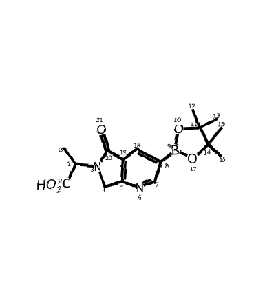 CC(C(=O)O)N1Cc2ncc(B3OC(C)(C)C(C)(C)O3)cc2C1=O